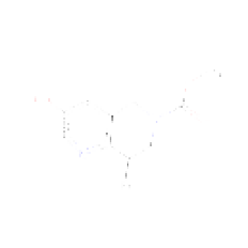 CCC1CN(C(=O)OC(C)(C)C)Cc2cc(O)cnc21